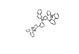 C1=CC(c2nc3cc(-c4cccc(-n5c6cc(-c7cccc8c9ccccc9n(C9=CCCC=C9)c78)ccc6c6c7ccccc7ccc65)c4)ccc3nc2-c2ccccc2)=CCC1